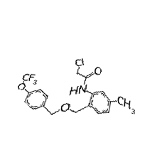 Cc1ccc(COCc2ccc(OC(F)(F)F)cc2)c(NC(=O)CCl)c1